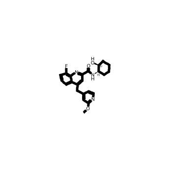 COc1cc(Cc2cc(C(=O)N[C@H]3CCCC[C@@H]3O)nc3c(F)cccc23)ccn1